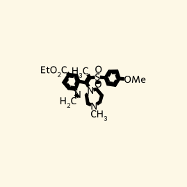 C=Nc1ccc(C(=O)OCC)cc1/C(=C(\C)S(=O)(=O)c1ccc(OC)cc1)N1CCCN(C)CC1